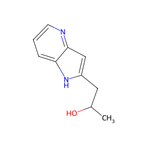 CC(O)Cc1cc2ncccc2[nH]1